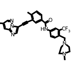 Cc1cnn2c(C#Cc3cc(C(=O)Nc4ccc(CN5CCN(C)CC5)c(C(F)(F)F)c4)ccc3C)cnc2c1